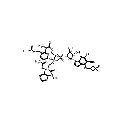 CC(=O)OCc1cccnc1N(C)C(=O)OCOP(=O)(CS(=O)(=O)C[C@H]1O[C@@H](n2ccc3c(NC4CC(F)(F)C4)c(C#N)c(Cl)nc32)[C@H](O)[C@@H]1O)OCOC(=O)N(C)c1ncccc1COC(C)=O